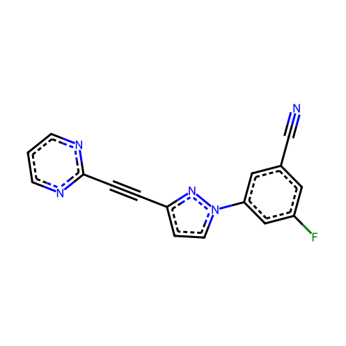 N#Cc1cc(F)cc(-n2ccc(C#Cc3ncccn3)n2)c1